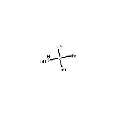 CC(C)[Si](S)(C(C)C)C(C)C.[LiH]